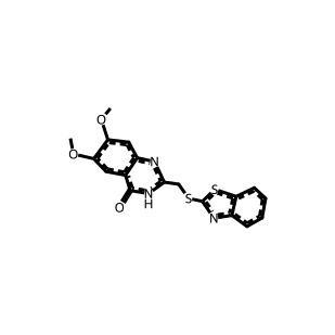 COc1cc2nc(CSc3nc4ccccc4s3)[nH]c(=O)c2cc1OC